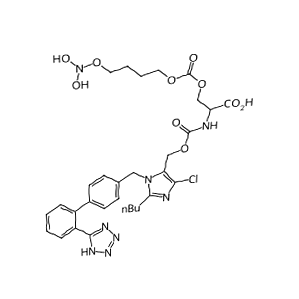 CCCCc1nc(Cl)c(COC(=O)NC(COC(=O)OCCCCON(O)O)C(=O)O)n1Cc1ccc(-c2ccccc2-c2nnn[nH]2)cc1